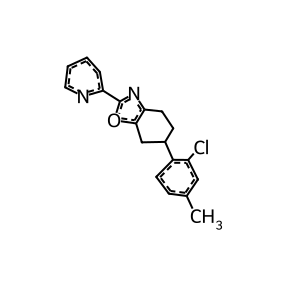 Cc1ccc(C2CCc3nc(-c4ccccn4)oc3C2)c(Cl)c1